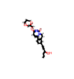 CCCC(O)C#Cc1ccc2c(c1)CCN1C(=O)N=C(OCC3COCCCO3)CC=C21